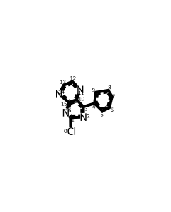 Clc1nc(-c2ccccc2)c2nccnc2n1